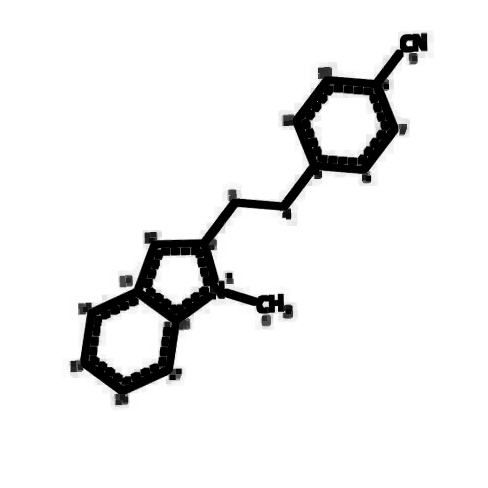 Cn1c(CCc2ccc(C#N)cc2)cc2ccccc21